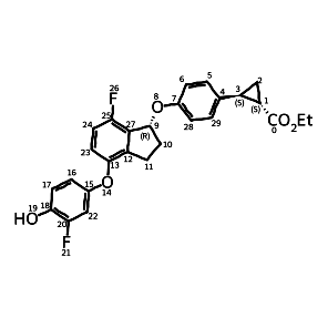 CCOC(=O)[C@H]1C[C@@H]1c1ccc(O[C@@H]2CCc3c(Oc4ccc(O)c(F)c4)ccc(F)c32)cc1